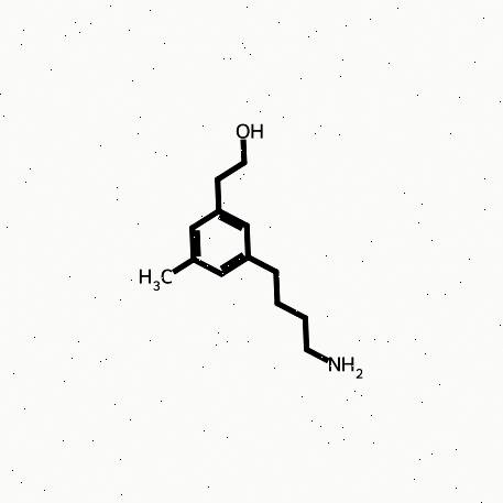 Cc1cc(CCO)cc(CCCCN)c1